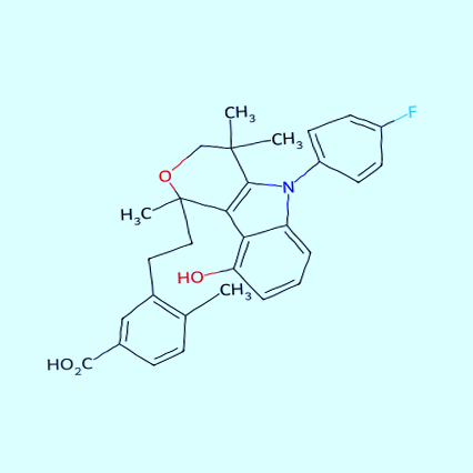 Cc1ccc(C(=O)O)cc1CCC1(C)OCC(C)(C)c2c1c1c(O)cccc1n2-c1ccc(F)cc1